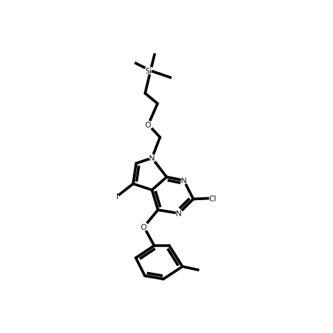 Cc1cccc(Oc2nc(Cl)nc3c2c(I)cn3COCC[Si](C)(C)C)c1